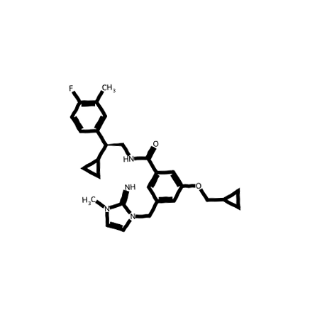 Cc1cc([C@@H](CNC(=O)c2cc(Cn3ccn(C)c3=N)cc(OCC3CC3)c2)C2CC2)ccc1F